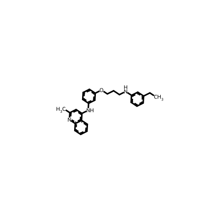 CCc1cccc(NCCCOc2cccc(Nc3cc(C)nc4ccccc34)c2)c1